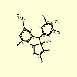 CC1=CC(C)=C(C)[C]1([Ti+3])C(c1cc(C)cc(C)c1)c1cc(C)cc(C)c1.[Cl-].[Cl-].[Cl-]